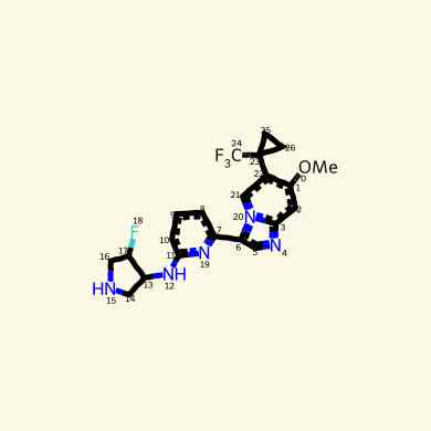 COc1cc2ncc(-c3cccc(NC4CNCC4F)n3)n2cc1C1(C(F)(F)F)CC1